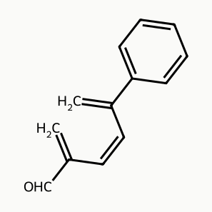 C=C(C=O)/C=C\C(=C)c1ccccc1